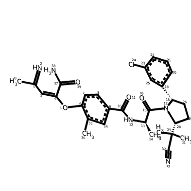 CC(=N)/C=C(/Oc1ccc(C(=O)N[C@H](C)C(=O)N2[C@H](c3cccc(Cl)c3)CC[C@@H]2C(C)(C)C#N)cc1C)C(N)=O